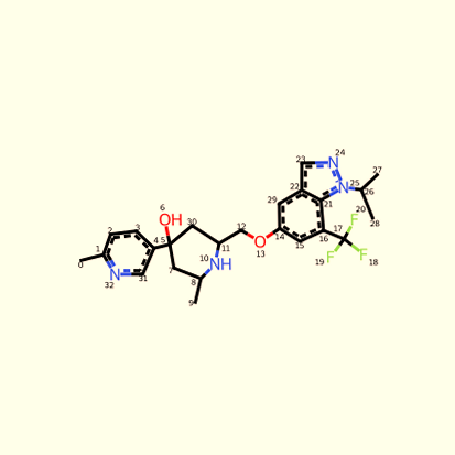 Cc1ccc(C2(O)CC(C)NC(COc3cc(C(F)(F)F)c4c(cnn4C(C)C)c3)C2)cn1